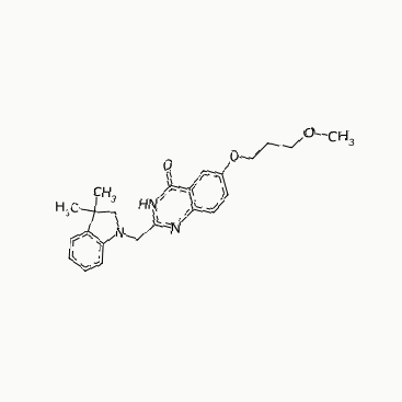 COCCCOc1ccc2nc(CN3CC(C)(C)c4ccccc43)[nH]c(=O)c2c1